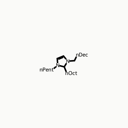 CCCCCCCCCCCN1C=CN(CCCCC)C1CCCCCCCC